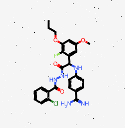 CCCOc1cc(OC)cc(C(Nc2ccc(C(=N)N)cc2)C(=O)NNC(=O)c2ccccc2Cl)c1F